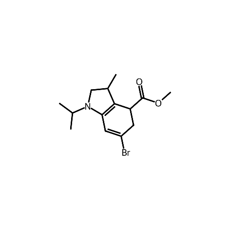 COC(=O)C1CC(Br)=CC2=C1C(C)CN2C(C)C